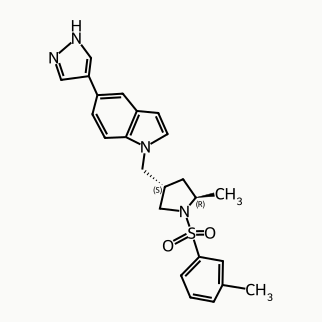 Cc1cccc(S(=O)(=O)N2C[C@H](Cn3ccc4cc(-c5cn[nH]c5)ccc43)C[C@H]2C)c1